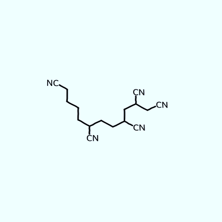 N#CCCCCC(C#N)CCC(C#N)CC(C#N)CC#N